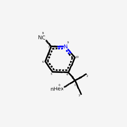 CCCCCCC(C)(C)c1ccc(C#N)nc1